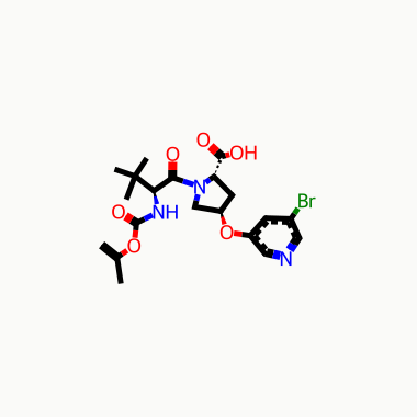 C=C(C)OC(=O)N[C@H](C(=O)N1C[C@H](Oc2cncc(Br)c2)C[C@H]1C(=O)O)C(C)(C)C